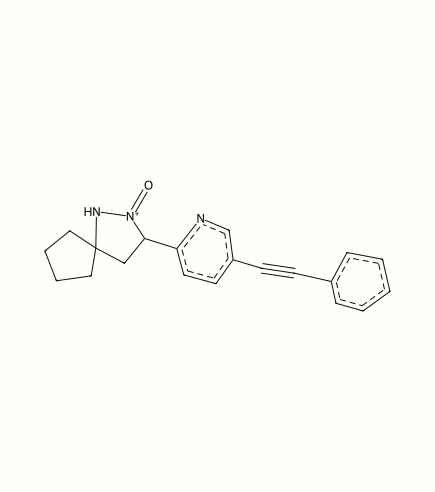 O=[N+]1NC2(CCCC2)CC1c1ccc(C#Cc2ccccc2)cn1